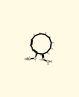 CCCCOC1=CC=CCCCCCCCC1=NO